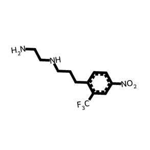 NCCNCCCc1ccc([N+](=O)[O-])cc1C(F)(F)F